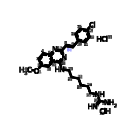 COc1ccc2nc(/C=C/c3ccc(Cl)cc3)nc(NCCCCCCNC(=N)N)c2c1.Cl.Cl